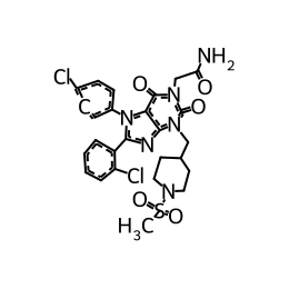 CS(=O)(=O)N1CCC(Cn2c(=O)n(CC(N)=O)c(=O)c3c2nc(-c2ccccc2Cl)n3-c2ccc(Cl)cc2)CC1